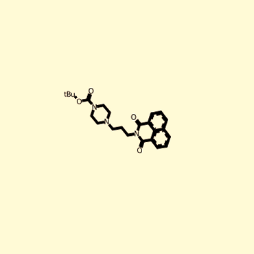 CC(C)(C)OC(=O)N1CCN(CCCN2C(=O)c3cccc4cccc(c34)C2=O)CC1